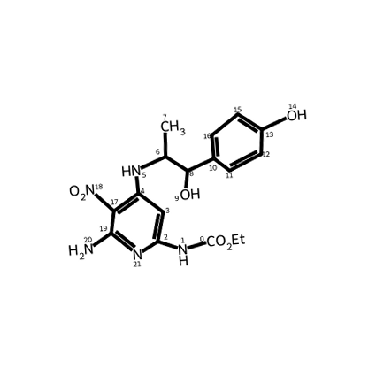 CCOC(=O)Nc1cc(NC(C)C(O)c2ccc(O)cc2)c([N+](=O)[O-])c(N)n1